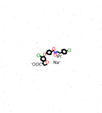 CC(C)ON(CCc1ccc(Cl)cc1)C(=O)c1ccc(Oc2cc3c(cc2Cl)C(C(=O)[O-])CCO3)cc1.[Na+]